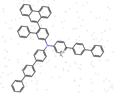 C=C(/C=C\C(=C/C)N(c1ccc(-c2ccc(-c3ccccc3)cc2)cc1)c1ccc(-c2cc3ccccc3c3ccccc23)c(-c2ccccc2)c1)c1ccc(-c2ccccc2)cc1